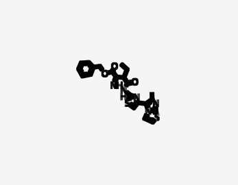 CCC(C(=N)C(=O)OCc1ccccc1)C(=O)Nc1nc(-c2c(C)nc3sccn23)cs1